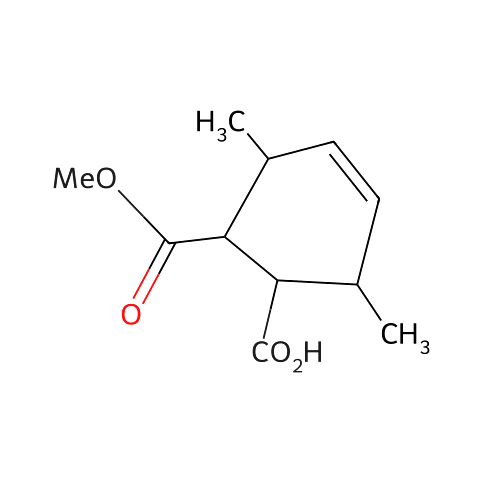 COC(=O)C1C(C)C=CC(C)C1C(=O)O